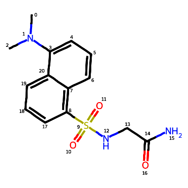 CN(C)c1cccc2c(S(=O)(=O)NCC(N)=O)cccc12